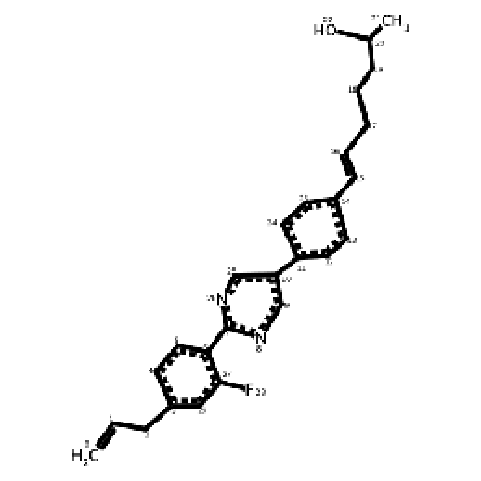 C=CCc1ccc(-c2ncc(-c3ccc(/C=C/CCCC(C)O)cc3)cn2)c(F)c1